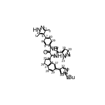 Cc1n[nH]c(C)c1-c1ccc(NC(=O)C(NC(=O)c2ccnn2C)[C@@H]2CCc3ccc(-c4cnn(C(C)(C)C)c4)cc32)cc1